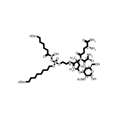 CCCCCCCCCCCCCCCCCCOP(=O)(OCCNC(=O)[C@@](C)(CC(C)O[C@H]1[C@H](O)[C@@H](CO)O[C@H](O)[C@@H]1NC(C)=O)N(C(=O)CC[C@@H](N)C(N)=O)C(=O)[C@@H](N)CC)ON(O)C(=O)CCCCCCCCCCCCCCC